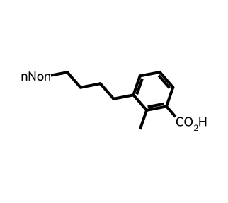 CCCCCCCCCCCCCc1cccc(C(=O)O)c1C